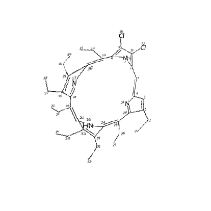 CCC1=Cc2cc3[nH]c(c(Cl)c3Cl)c(CC)c3nc(c(CC)c4[nH]c(c(CC)c1n2)c(CC)c4CC)C(CC)=C3CC